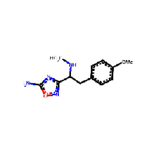 COc1ccc(CC(NC(=O)O)c2noc(N)n2)cc1